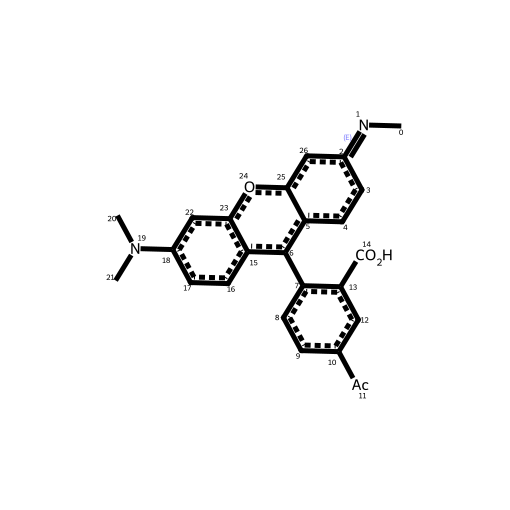 C/N=c1\ccc2c(-c3ccc(C(C)=O)cc3C(=O)O)c3ccc(N(C)C)cc3oc-2c1